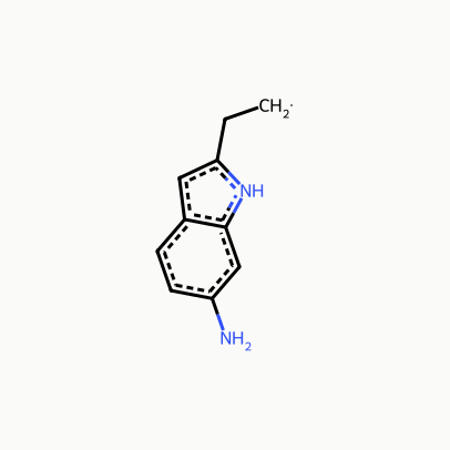 [CH2]Cc1cc2ccc(N)cc2[nH]1